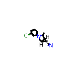 CC1[C@H]2[C@H](C#N)[C@H]2CN1c1cccc(Cl)c1